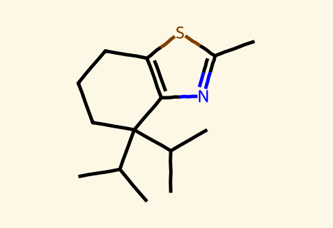 Cc1nc2c(s1)CCCC2(C(C)C)C(C)C